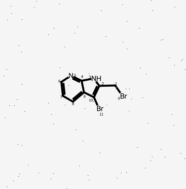 BrCc1[nH]c2ncccc2c1Br